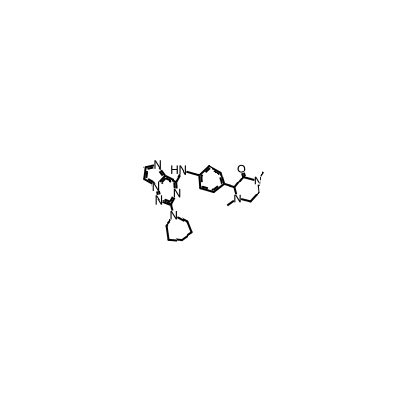 CN1CCN(C)C(c2ccc(Nc3nc(N4CCCCC4)nn4ccnc34)cc2)C1=O